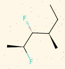 CC[C@@H](C)[C@@H](F)[C@H](C)F